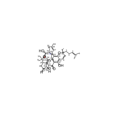 CC(C)=CCC[C@]1(C)C=Cc2c(O)c3c(c(CC=C(C)C)c2O1)O[C@]12C(C[C@@H]4CC1C(C)(C)O[C@@]2(C/C=C(/C)C(=O)O)C4O)C3=O